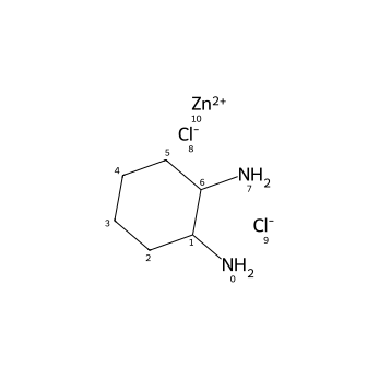 NC1CCCCC1N.[Cl-].[Cl-].[Zn+2]